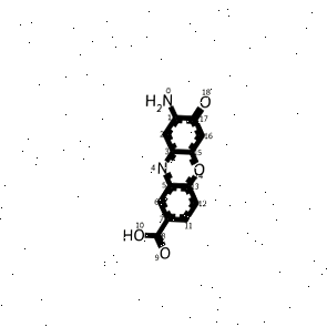 Nc1cc2nc3cc(C(=O)O)ccc3oc-2cc1=O